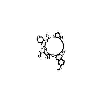 COc1ccc2nc3c(nc2c1)O[C@H]1CN(C(=O)[C@H](C2(C)CCOCC2)NC(=O)O[C@]2(C)CCC[C@H]2CCCCC3(F)F)[C@H](C(C)=O)[C@@H]1C